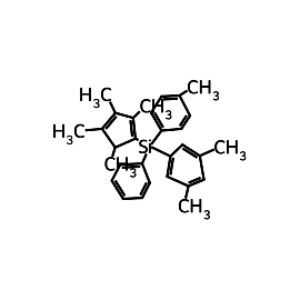 CC1=C(C)C(C)C([Si](c2ccccc2)(c2ccc(C)cc2)c2cc(C)cc(C)c2)=C1C